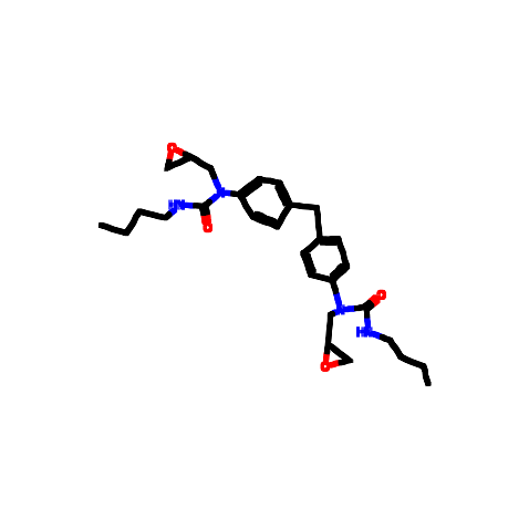 CCCCNC(=O)N(CC1CO1)c1ccc(Cc2ccc(N(CC3CO3)C(=O)NCCCC)cc2)cc1